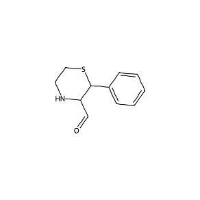 O=CC1NCCSC1c1ccccc1